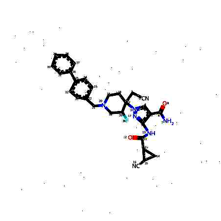 N#CCC1(n2cc(C(N)=O)c(NC(=O)C3CC3C#N)n2)CCN(Cc2ccc(-c3ccccc3)cc2)CC1F